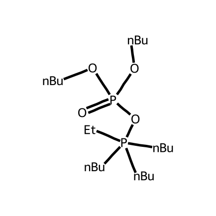 CCCCOP(=O)(OCCCC)OP(CC)(CCCC)(CCCC)CCCC